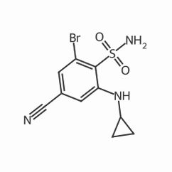 N#Cc1cc(Br)c(S(N)(=O)=O)c(NC2CC2)c1